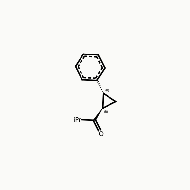 CC(C)C(=O)[C@@H]1C[C@H]1c1ccccc1